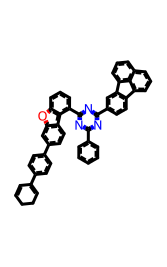 C1=CC(c2ccc(-c3ccc4c(c3)oc3cccc(-c5nc(-c6ccccc6)nc(-c6ccc7c(c6)-c6cccc8cccc-7c68)n5)c34)cc2)=CCC1